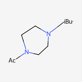 CC[C](C)N1CCN(C(C)=O)CC1